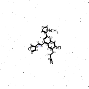 Cn1cncc1-c1cc(/C=C/c2ccoc2)c2cc(CCC#N)c(Cl)cc2n1